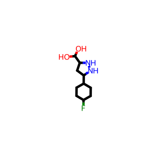 OC(O)C1CC(C2CCC(F)CC2)NN1